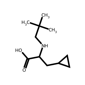 CC(C)(C)CNC(CC1CC1)C(=O)O